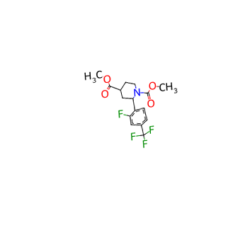 COC(=O)C1CCN(C(=O)OC)C(c2ccc(C(F)(F)F)cc2F)C1